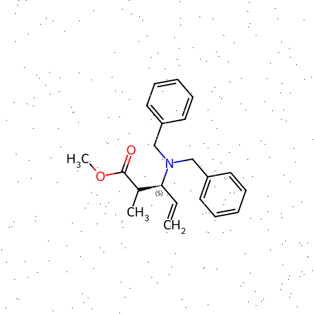 C=C[C@@H](C(C)C(=O)OC)N(Cc1ccccc1)Cc1ccccc1